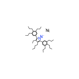 CCCCC1=C(c2cc(CCC)c(CCC)c(CCC)c2)[N+](=[N-])C(c2cc(CCC)c(CCC)c(CCC)c2)=C1CC.[CH3][Ni][CH3]